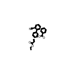 C=CC(=O)OCC.N#Cc1ccccc1-c1ccccc1.O=C(O)c1ccccc1